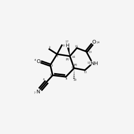 CC1(C)C(=O)C(C#N)=C[C@]2(C)CNC(=O)C[C@@H]12